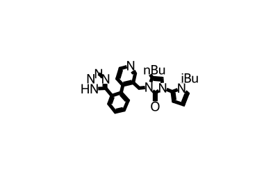 CCCCc1cn(-c2cccn2C(C)CC)c(=O)n1Cc1cnccc1-c1ccccc1-c1nnn[nH]1